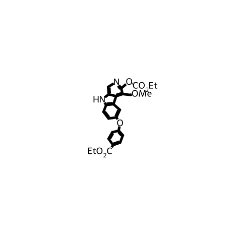 CCOC(=O)Oc1ncc2[nH]c3ccc(Oc4ccc(C(=O)OCC)cc4)cc3c2c1COC